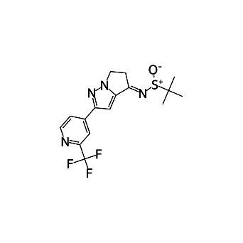 CC(C)(C)[S@@+]([O-])/N=C1\CCn2nc(-c3ccnc(C(F)(F)F)c3)cc21